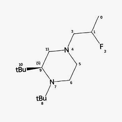 CC(F)CN1CCN(C(C)(C)C)[C@@H](C(C)(C)C)C1